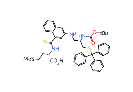 CSCC[C@H](NC(=S)c1cc(NC[C@H](CSC(c2ccccc2)(c2ccccc2)c2ccccc2)NC(=O)OC(C)(C)C)cc2ccccc12)C(=O)O